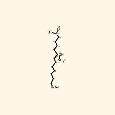 CCCCCCCCCCCCCCCCCCCCCCP(CC)CC.O=S(=O)(O)O